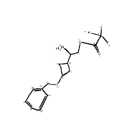 NC(COC(=O)C(F)(F)F)C1CC(OCc2ccccc2)C1